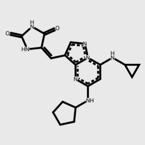 O=C1NC(=O)/C(=C\c2cnn3c(NC4CC4)cc(NC4CCCC4)nc23)N1